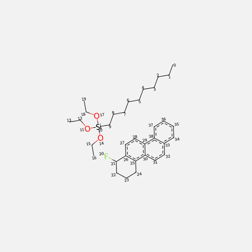 CCCCCCCCCC[Si](OCC)(OCC)OCC.FC1CCCc2c1ccc1c2ccc2ccccc21